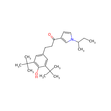 CCC(C)n1ccc(C(=O)CCc2cc(C(C)(C)C)c(O)c(C(C)(C)C)c2)c1